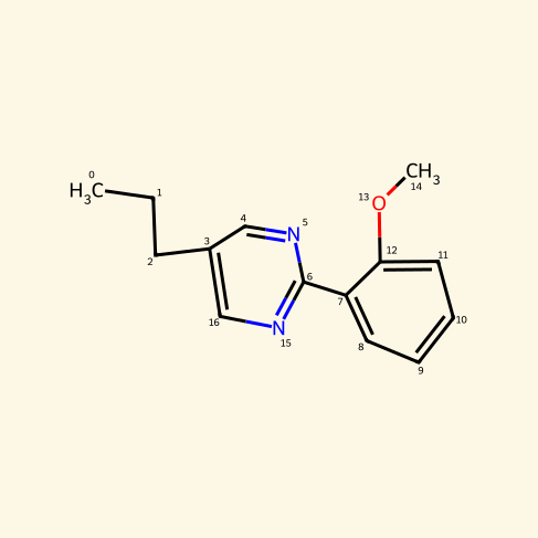 CCCc1cnc(-c2ccccc2OC)nc1